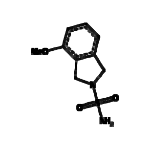 COc1cccc2c1CN(S(N)(=O)=O)C2